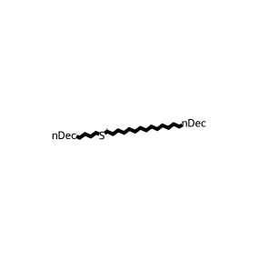 CCCCCCCCCCCCCCCCCCCCCCC[CH]SCCCCCCCCCCCCCC